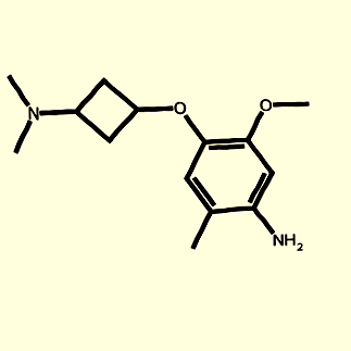 COc1cc(N)c(C)cc1OC1CC(N(C)C)C1